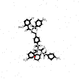 COc1ccc(Cl)cc1C(=O)N(CCc1ccc(S(=O)(=O)N(C(=O)N(C2CCCCC2)S(=O)(=O)c2ccc([N+](=O)[O-])cc2)S(=O)(=O)c2ccc([N+](=O)[O-])cc2)cc1)S(=O)(=O)c1ccc([N+](=O)[O-])cc1